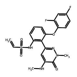 C=CS(=O)(=O)Nc1cccc(Oc2ccc(F)cc2F)c1-c1cc(NC)c(=O)n(C)n1